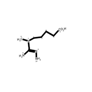 CN(CCCCC(=O)O)C(N)=NN